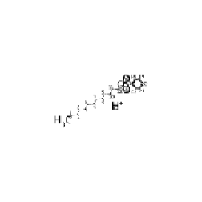 CCCCCCCCCCCCCOS(=O)(=O)c1ccccc1.[H+]